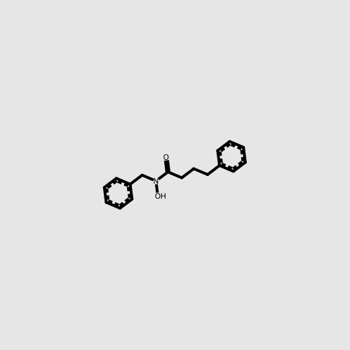 O=C(CCCc1ccccc1)N(O)Cc1ccccc1